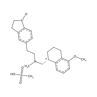 COc1cccc2c1CCC[C@H]2CN(C)CCc1ccc2c(c1)CC[S+]2[O-].CS(=O)(=O)O